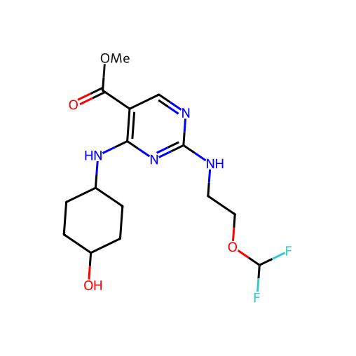 COC(=O)c1cnc(NCCOC(F)F)nc1NC1CCC(O)CC1